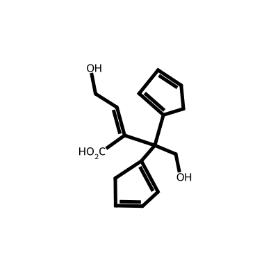 O=C(O)C(=CCO)C(CO)(C1=CC=CC1)C1=CC=CC1